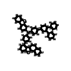 c1ccc(-c2ccc(-c3ccc(N(c4ccc(-c5cccc6oc7c8ccccc8ccc7c56)cc4)c4ccc5c(c4)oc4ccccc45)cc3)cc2-c2ccccc2)cc1